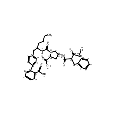 CCCCC(Cc1ccc(-c2ccccc2C(=O)O)cc1)NC(=O)N1C[C@@H](NC(=O)C(Cc2ccccc2)C(=O)NO)C[C@H]1C(=O)O